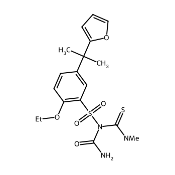 CCOc1ccc(C(C)(C)c2ccco2)cc1S(=O)(=O)N(C(N)=O)C(=S)NC